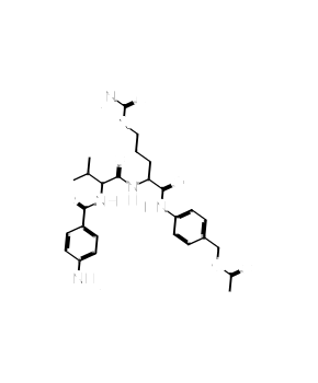 CC(=O)OCc1ccc(NC(=O)C(CCCNC(N)=O)NC(=O)C(NC(=O)c2ccc(N)cc2)C(C)C)cc1